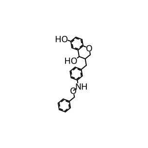 Oc1ccc2c(c1)C(O)C(Cc1cccc(NOCc3ccccc3)c1)CO2